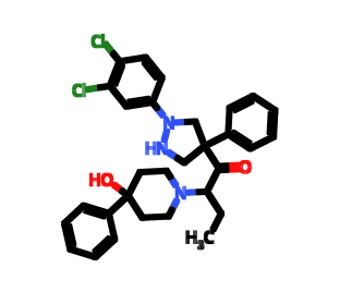 CCC(C(=O)C1(c2ccccc2)CNN(c2ccc(Cl)c(Cl)c2)C1)N1CCC(O)(c2ccccc2)CC1